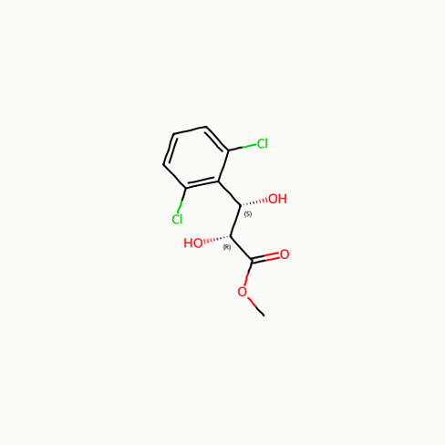 COC(=O)[C@H](O)[C@@H](O)c1c(Cl)cccc1Cl